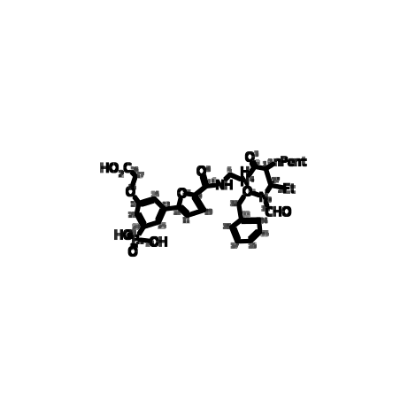 CCCCCC(C(=O)NCNC(=O)c1ccc(-c2cc(OCC(=O)O)cc(P(=O)(O)O)c2)o1)C(CC)N(C=O)OCc1ccccc1